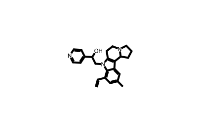 C=Cc1cc(C)cc2c3c(n(CC(O)c4ccncc4)c12)CCN1CCCC31